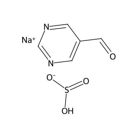 O=Cc1cncnc1.O=S([O-])O.[Na+]